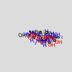 CCCC[C@@H](C(=O)N1CCC[C@@H]1C(=O)N[C@H](C=O)CO)N(C)C(=O)[C@H](Cc1ccccc1)N(C)C(=O)[C@H](Cc1ccccc1)NC(=O)CSC[C@H](NC(=O)[C@H](CC(C)C)NC(=O)[C@H](Cc1ccc(O)cc1)NC(=O)[C@H](Cc1csc2ccccc12)NC(=O)CN(C)C(O)[C@H](Cc1ccc(O)cc1)NC(=O)[C@H](Cc1ccccc1)N(C)C(=O)[C@@H](N)C(C)C)C(=O)NCC(N)=O